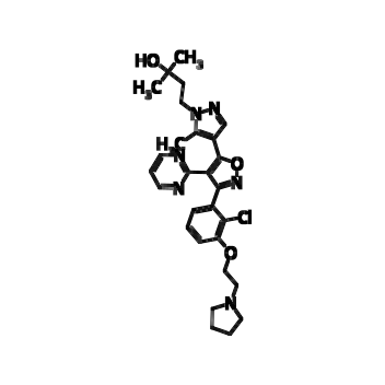 Cc1c(-c2onc(-c3cccc(OCCN4CCCC4)c3Cl)c2-c2ncccn2)cnn1CCC(C)(C)O